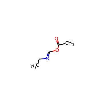 CCN=COC(C)=O